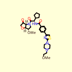 COCCN1CCN(c2nc(-c3ccc(C(=O)N[C@H](C(=O)N4C[C@H](OC)[C@H]5OCC(=O)[C@H]54)C4CCCC4)cc3)cs2)CC1